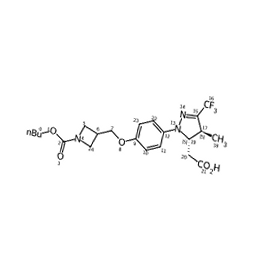 CCCCOC(=O)N1CC(COc2ccc(N3N=C(C(F)(F)F)[C@@H](C)[C@@H]3CC(=O)O)cc2)C1